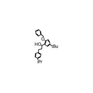 CC(C)c1ccc(CCC(O)c2cc(C(C)(C)C)ccc2OCc2ccccc2)cc1